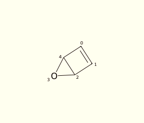 C1=CC2OC12